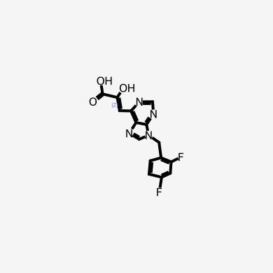 O=C(O)/C(O)=C/c1ncnc2c1ncn2Cc1ccc(F)cc1F